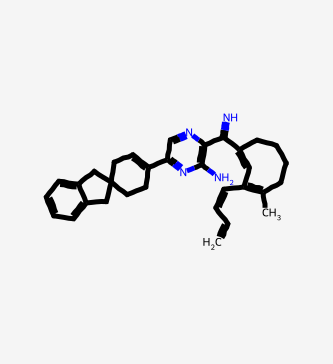 C=C/C=C\C1=C(C)CCCC/C(C(=N)c2ncc(C3=CCC4(CC3)Cc3ccccc3C4)nc2N)=C/1